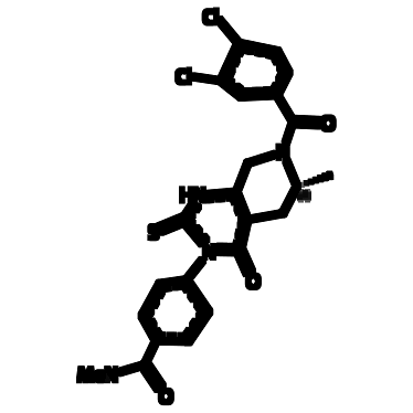 CNC(=O)c1ccc(-n2c(=S)[nH]c3c(c2=O)C[C@@H](C)N(C(=O)c2ccc(Cl)c(Cl)c2)C3)cc1